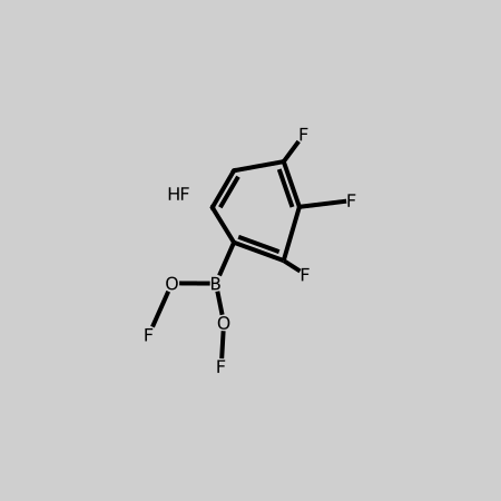 F.FOB(OF)c1ccc(F)c(F)c1F